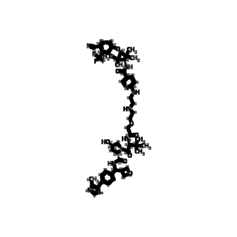 Cc1ncsc1-c1ccc(C(NC(=O)[C@@H]2C[C@@H](O)CN2C(=O)[C@@H](NC(=O)COCCNCCNc2ccc(C(=O)N[C@H]3C(C)(C)[C@H](Oc4ccc(C#N)c(C(F)(F)F)c4)C3(C)C)cn2)C(C)(C)C)C2COC2)cc1